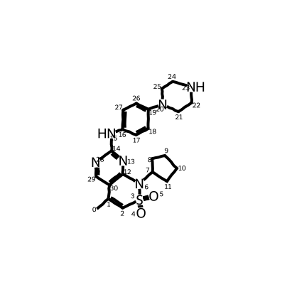 CC1=CS(=O)(=O)N(C2CCCC2)c2nc(Nc3ccc(N4CCNCC4)cc3)ncc21